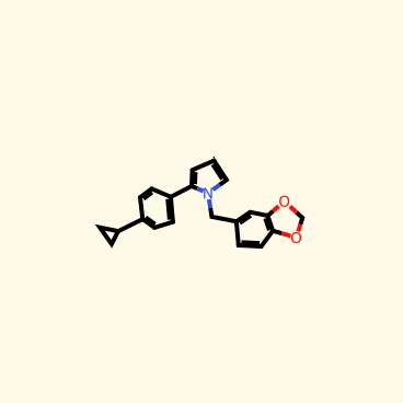 [c]1cc(-c2ccc(C3CC3)cc2)n(Cc2ccc3c(c2)OCO3)c1